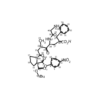 CCCCOC(=O)[C@@]1(C(=O)Oc2ccc([N+](=O)[O-])cc2)CCCN1C(=O)CN(C)C(=O)[C@H](CC(Cc1ccccc1)C(=O)O)NC(=O)CN